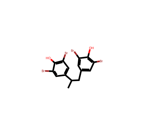 CC(Cc1cc(Br)c(O)c(Br)c1)c1cc(Br)c(O)c(Br)c1